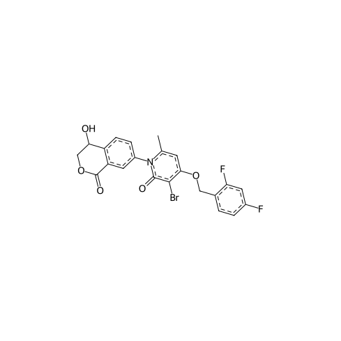 Cc1cc(OCc2ccc(F)cc2F)c(Br)c(=O)n1-c1ccc2c(c1)C(=O)OCC2O